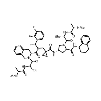 CN[C@@H](C)C(=O)NC(C(=O)N1Cc2ccccc2C[C@H]1C(=O)N(CC1(C(=O)N[C@H]2CC(C(=O)N[C@@H]3CCCc4ccccc43)N(C(=O)[C@@H](NC(=O)[C@H](C)NC)C(C)(C)C)C2)CC1)[C@H](C)c1cccc(F)c1F)C(C)(C)C